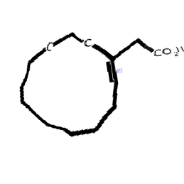 O=C(O)C/C1=C/CCCCCCCCCC1